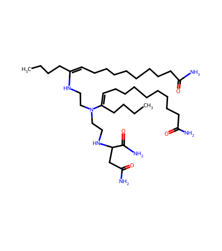 CCCCC(=CCCCCCCCCC(N)=O)NCCN(CCNC(CC(N)=O)C(N)=O)C(=CCCCCCCCCC(N)=O)CCCC